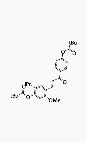 COc1cc(OC(=O)C(C)(C)C)c(C(C)C)cc1C=CC(=O)c1ccc(OC(=O)C(C)(C)C)cc1